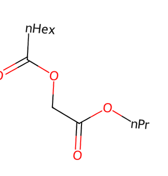 CCCCCCC(=O)OCC(=O)OCCC